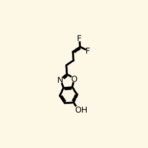 Oc1ccc2nc(CCC=C(F)F)oc2c1